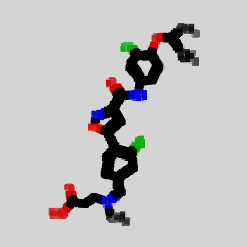 CC(C)Oc1ccc(NC(=O)c2cc(-c3ccc(CN(C)CCC(=O)O)cc3Cl)on2)cc1Cl